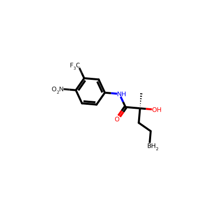 BCC[C@](C)(O)C(=O)Nc1ccc([N+](=O)[O-])c(C(F)(F)F)c1